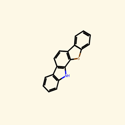 [c]1cccc2c1[nH]c1c2ccc2c3ccccc3sc21